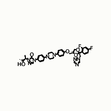 CC([C@@H](C)O)n1ncn(-c2ccc(N3CCN(c4ccc(OC[C@H]5CO[C@](Cn6cncn6)(c6ccc(F)cc6F)O5)cc4)CC3)cc2)c1=O